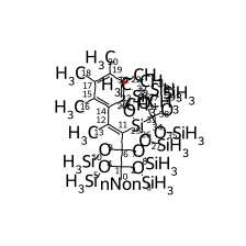 CCCCCCCCCC(O[SiH3])(O[SiH3])C(O[SiH3])(O[SiH3])C(=C(C)c1c(C)c(C)c(C)c(C)c1C)[Si](O[SiH3])(O[Si](C)(C)C)C(O[SiH3])(O[SiH3])O[SiH3]